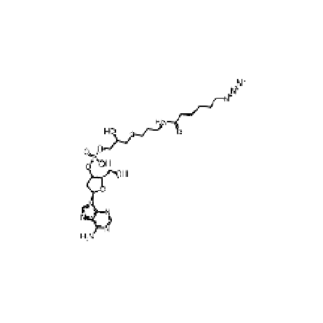 [N-]=[N+]=NCCCCCC(=O)NCCCOCC(O)COP(=O)(O)O[C@@H]1C[C@H](n2cnc3c(N)ncnc32)O[C@@H]1CO